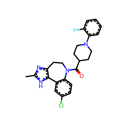 Cc1nc2c([nH]1)-c1cc(Cl)ccc1N(C(=O)C1CCN(c3ccccc3F)CC1)CC2